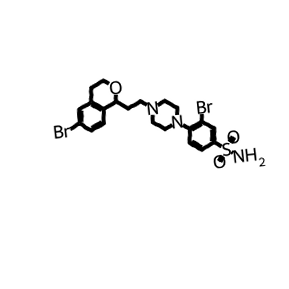 NS(=O)(=O)c1ccc(N2CCN(CCC3OCCc4cc(Br)ccc43)CC2)c(Br)c1